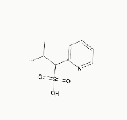 [CH2]C(C)C(c1ccccn1)S(=O)(=O)O